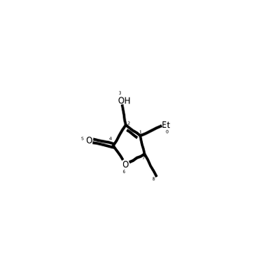 CCC1=C(O)C(=O)OC1C